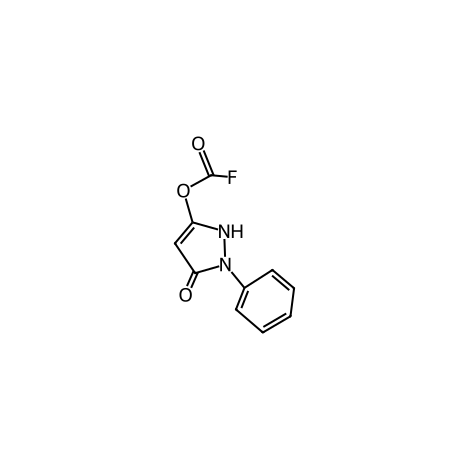 O=C(F)Oc1cc(=O)n(-c2ccccc2)[nH]1